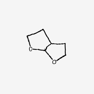 C1CC2CCO[C]2O1